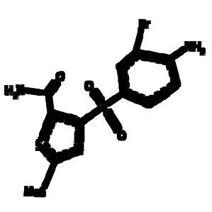 CSc1cc(S(=O)(=O)c2ccc(N)c(Br)c2)c(C(N)=O)s1